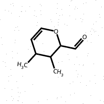 CC1C=COC(C=O)C1C